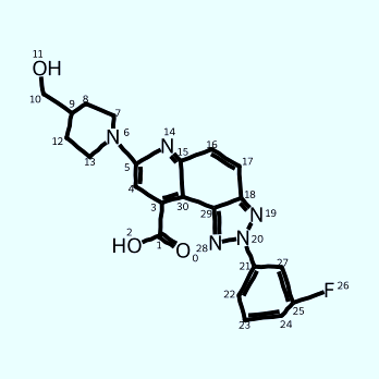 O=C(O)c1cc(N2CCC(CO)CC2)nc2ccc3nn(-c4cccc(F)c4)nc3c12